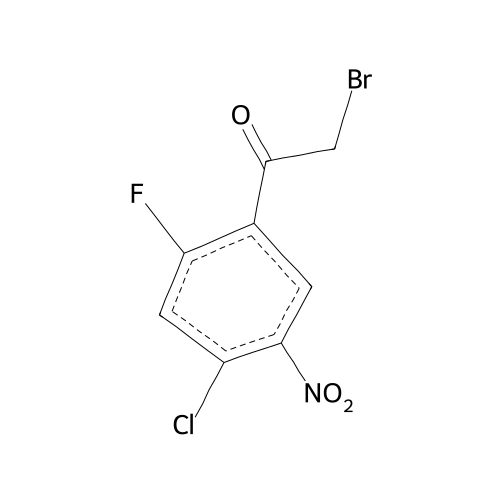 O=C(CBr)c1cc([N+](=O)[O-])c(Cl)cc1F